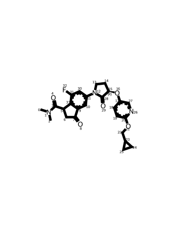 CN(C)C(=O)C1CC(=O)c2cc(N3CC[C@@H](Oc4ccc(OCC5CC5)nc4)C3=O)cc(F)c21